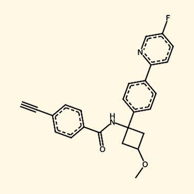 C#Cc1ccc(C(=O)NC2(c3ccc(-c4ccc(F)cn4)cc3)CC(OC)C2)cc1